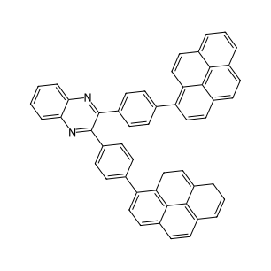 C1=Cc2ccc3ccc(-c4ccc(-c5nc6ccccc6nc5-c5ccc(-c6ccc7ccc8cccc9ccc6c7c89)cc5)cc4)c4c3c2C(=CC4)C1